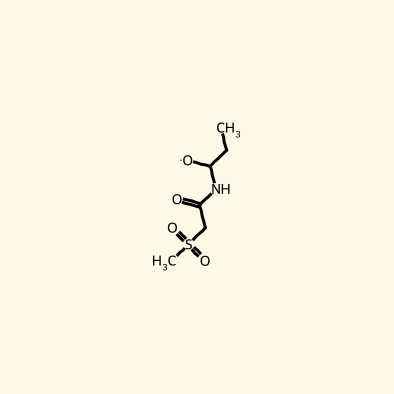 CCC([O])NC(=O)CS(C)(=O)=O